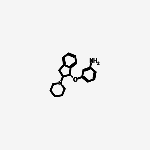 Nc1cccc(O[C@H]2c3ccccc3CC2N2CCCCC2)c1